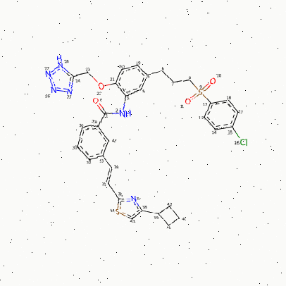 O=C(Nc1cc(CCCS(=O)(=O)c2ccc(Cl)cc2)ccc1OCc1nnn[nH]1)c1cccc(C=Cc2nc(C3CCC3)cs2)c1